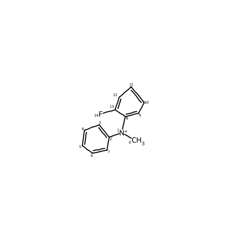 C[N+](c1ccccc1)c1ccccc1F